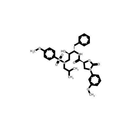 COc1ccc(S(=O)(=O)N(CC(C)C)C[C@@H](O)[C@H](Cc2ccccc2)NC(=O)[C@@H]2CN(c3cccc(OC)c3)C(=O)O2)cc1